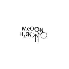 COc1ccc2nc3c(c(NC4CCN(C)CC4)c2c1)CCCCCC3